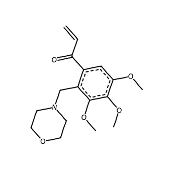 C=CC(=O)c1cc(OC)c(OC)c(OC)c1CN1CCOCC1